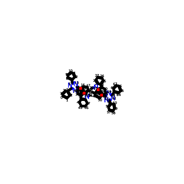 c1ccc(-c2nc(-c3ccccc3)nc(-c3ccc([Si](Cn4c5c(c6ccccc64)CCCC5)(Cn4c5c(c6ccccc64)CCCC5)c4ccc(-c5nc(-c6ccccc6)nc(-c6ccccc6)n5)cc4)cc3)n2)cc1